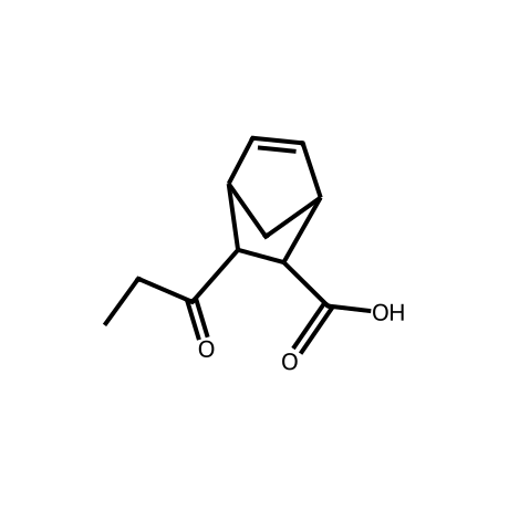 CCC(=O)C1C2C=CC(C2)C1C(=O)O